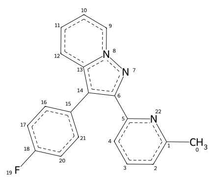 Cc1cccc(-c2nn3ccccc3c2-c2ccc(F)cc2)n1